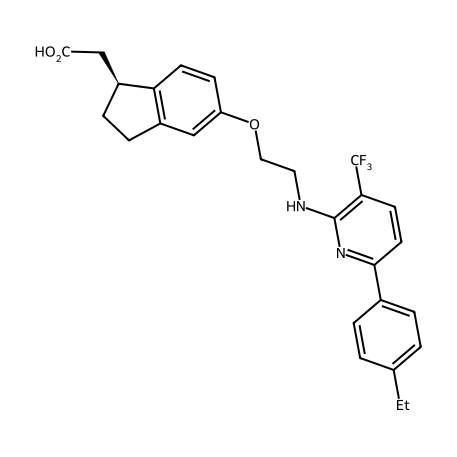 CCc1ccc(-c2ccc(C(F)(F)F)c(NCCOc3ccc4c(c3)CC[C@H]4CC(=O)O)n2)cc1